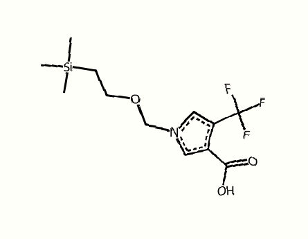 C[Si](C)(C)CCOCn1cc(C(=O)O)c(C(F)(F)F)c1